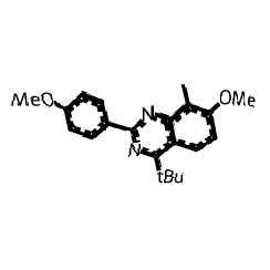 COc1ccc(-c2nc(C(C)(C)C)c3ccc(OC)c(C)c3n2)cc1